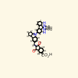 CCCCNC1(NCCCC)c2ccccc2-c2cc(N3c4ccc(/C=C5\C(=O)c6ccc(C(=O)O)cc6C5=O)cc4C4CCCC43)ccc21